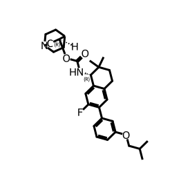 CC(C)COc1cccc(-c2cc3c(cc2F)[C@H](NC(=O)O[C@H]2CN4CCC2CC4)C(C)(C)CC3)c1